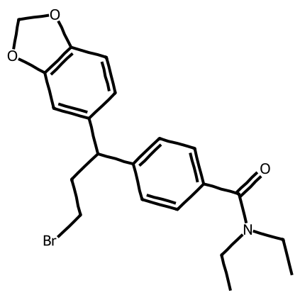 CCN(CC)C(=O)c1ccc(C(CCBr)c2ccc3c(c2)OCO3)cc1